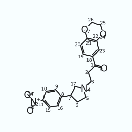 O=C(CCN1CCC(c2ccc([N+](=O)[O-])cc2)C1)c1ccc2c(c1)OCCO2